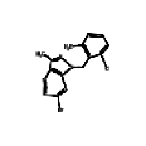 Cc1cccc(Cl)c1Cn1nc(C)c2ncc(Br)cc21